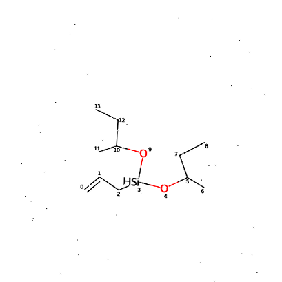 C=CC[SiH](OC(C)CC)OC(C)CC